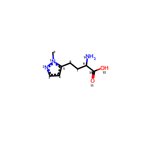 Cn1nccc1CCC(N)C(=O)O